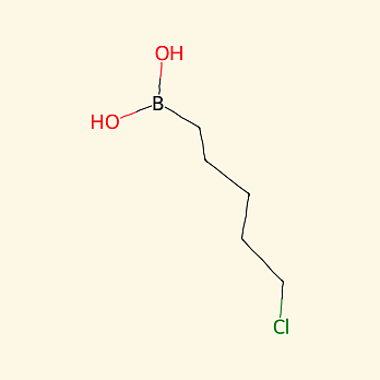 OB(O)CCCCCCl